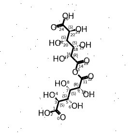 O=C(O)[C@@H](O)[C@@H](O)[C@H](O)[C@@H](O)C(=O)OC(=O)[C@H](O)[C@@H](O)[C@H](O)[C@H](O)C(=O)O